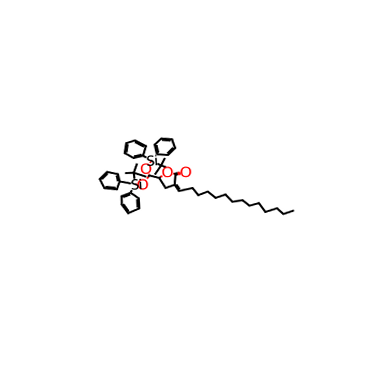 CCCCCCCCCCCCCC=C1CC(C(O[Si](c2ccccc2)(c2ccccc2)C(C)(C)C)O[Si](c2ccccc2)(c2ccccc2)C(C)(C)C)OC1=O